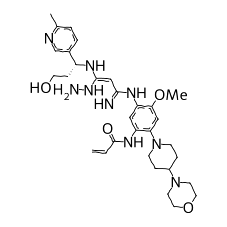 C=CC(=O)Nc1cc(NC(=N)/C=C(\NN)N[C@H](CCO)c2ccc(C)nc2)c(OC)cc1N1CCC(N2CCOCC2)CC1